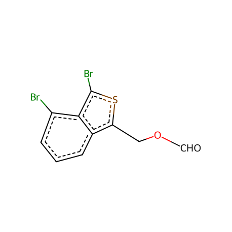 O=COCc1sc(Br)c2c(Br)cccc12